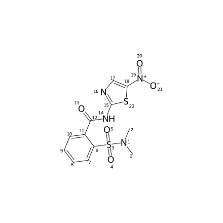 CN(C)S(=O)(=O)c1ccccc1C(=O)Nc1ncc([N+](=O)[O-])s1